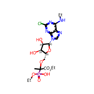 CCNc1nc(Cl)nc2c1ncn2[C@@H]1O[C@H](COC(C)(C(=O)OCC)P(=O)(O)OCC)[C@@H](O)[C@H]1O